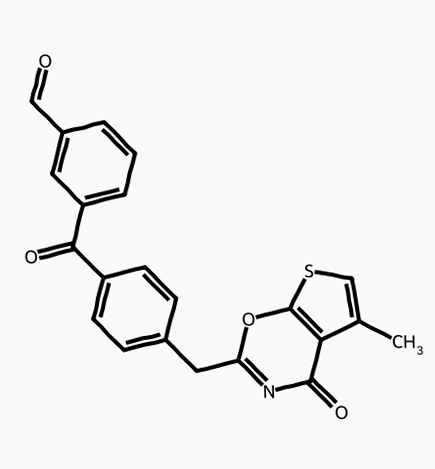 Cc1csc2oc(Cc3ccc(C(=O)c4cccc(C=O)c4)cc3)nc(=O)c12